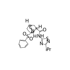 CC(C)c1nsc(NC(=O)[C@@H]2C[C@@H]3CC[C@H]2N(S(=O)(=O)c2ccccc2)C3)n1